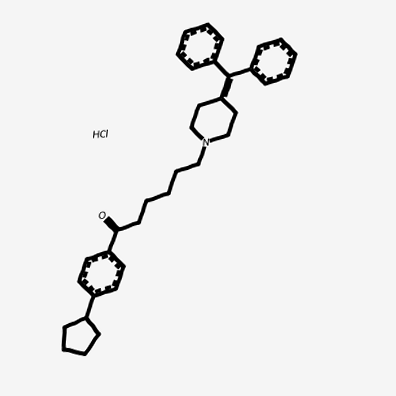 Cl.O=C(CCCCCN1CCC(=C(c2ccccc2)c2ccccc2)CC1)c1ccc(C2CCCC2)cc1